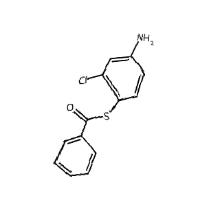 Nc1ccc(SC(=O)c2ccccc2)c(Cl)c1